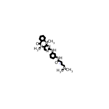 CN(C)C/C=C/C(=O)Nc1cccc(Nc2ncc3c(n2)N(C)c2ccccc2C(=O)N3C)c1